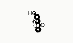 Cn1c(=O)c(C(=O)c2ccccc2)cc2ccc(O)cc21